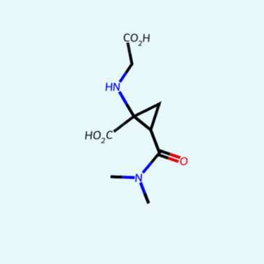 CN(C)C(=O)C1CC1(NCC(=O)O)C(=O)O